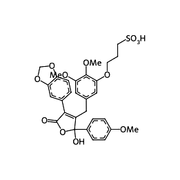 COc1ccc(C2(O)OC(=O)C(c3ccc4c(c3)OCO4)=C2Cc2cc(OC)c(OC)c(OCCCS(=O)(=O)O)c2)cc1